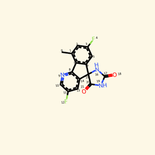 Cc1cc(F)cc2c1-c1ncc(F)cc1C21NC(=O)NC1=O